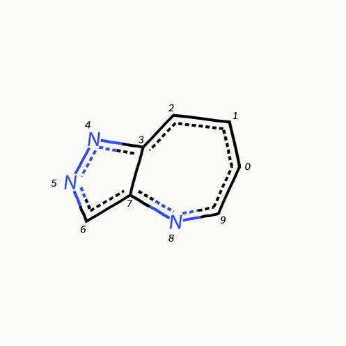 c1ccc2nncc-2nc1